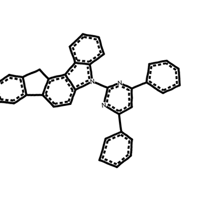 c1ccc(-c2cc(-c3ccccc3)nc(-n3c4ccccc4c4c5c(ccc43)-c3ccccc3C5)n2)cc1